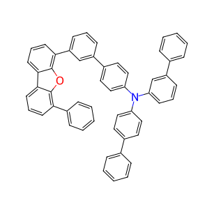 c1ccc(-c2ccc(N(c3ccc(-c4cccc(-c5cccc6c5oc5c(-c7ccccc7)cccc56)c4)cc3)c3cccc(-c4ccccc4)c3)cc2)cc1